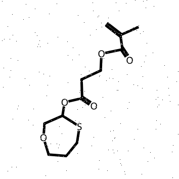 C=C(C)C(=O)OCCC(=O)OC1COCCCS1